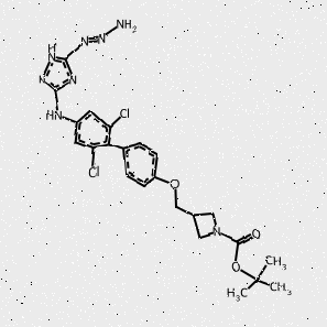 CC(C)(C)OC(=O)N1CC(COc2ccc(-c3c(Cl)cc(Nc4n[nH]c(N=NN)n4)cc3Cl)cc2)C1